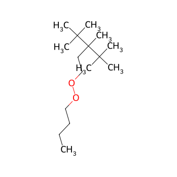 CCCCOOCCC(C)(C(C)(C)C)C(C)(C)C